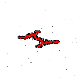 CCCc1ccc(C(=O)OCCc2ccc(OC(=O)c3ccc(OC(=O)c4ccc5cc(OCCCOCC6CCC7OC7C6)ccc5c4)c(F)c3)c3c2S/C(=C(/C#N)C(=O)OCCc2ccc(CCOC(=O)/C(C#N)=C4\Sc5c(CCOC(=O)c6ccc(CCC)cc6)ccc(OC(=O)c6ccc(OC(=O)c7ccc8cc(OCCCOCC9CCC%10OC%10C9)ccc8c7)c(F)c6)c5S4)cc2)S3)cc1